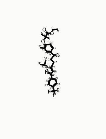 CCOC(=O)C(C)(C)Oc1ccc(C(=O)CCc2cc(-c3ccc(C(F)(F)F)cc3)nn2C(C)C)cc1C